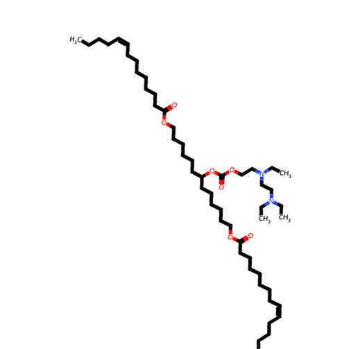 CCCC/C=C\CCCCCCCC(=O)OCCCCCCC(CCCCCCOC(=O)CCCCCCC/C=C\CCCC)OC(=O)OCCN(CC)CCN(CC)CC